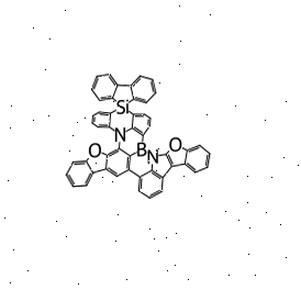 c1ccc2c(c1)-c1ccccc1[Si]21c2ccccc2N2c3c(cccc31)B1c3c(cc4c(oc5ccccc54)c32)-c2cccc3c4c5ccccc5oc4n1c23